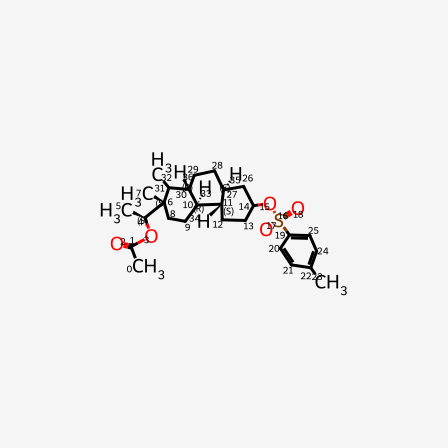 CC(=O)O[C@@H](C)[C@@]1(C)CC[C@@H]2[C@H]3CCC(OS(=O)(=O)c4ccc(C)cc4)C[C@@H]3CC[C@H]2C1C